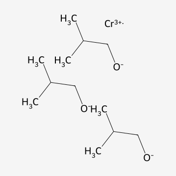 CC(C)C[O-].CC(C)C[O-].CC(C)C[O-].[Cr+3]